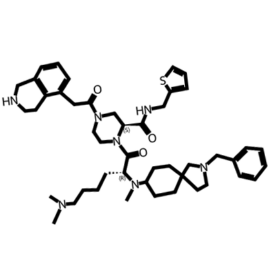 CN(C)CCCC[C@H](C(=O)N1CCN(C(=O)Cc2cccc3c2CCNC3)C[C@H]1C(=O)NCc1cccs1)N(C)C1CCC2(CC1)CCN(Cc1ccccc1)C2